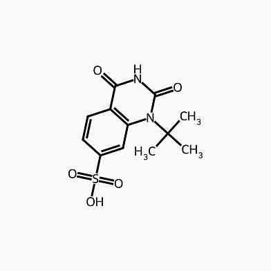 CC(C)(C)n1c(=O)[nH]c(=O)c2ccc(S(=O)(=O)O)cc21